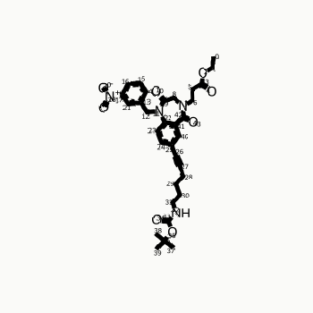 CCOC(=O)CCN1CC(=O)N(Cc2cccc([N+](=O)[O-])c2)c2ccc(C#CCCCCNC(=O)OC(C)(C)C)cc2C1=O